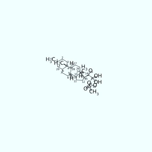 CC1CC[C@@]2(C)C(CC[C@H]3[C@@H]4CC[C@H](C(=O)C(O)(O)OS(C)(=O)=O)[C@@]4(C)CC[C@@H]32)C1